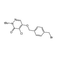 CC(C)(C)n1ncc(OCc2ccc(CBr)cc2)c(Cl)c1=O